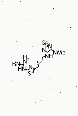 CNc1n[s+]([O-])nc1NCCSCc1csc(NC(=N)N)n1